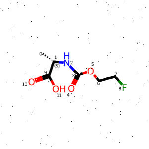 C[C@H](NC(=O)OCCF)C(=O)O